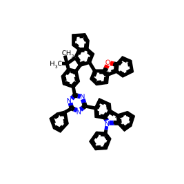 CC1(C)c2ccc(-c3nc(-c4ccccc4)nc(-c4ccc5c6ccccc6n(-c6ccccc6)c5c4)n3)cc2-c2c(-c3cccc4c3oc3ccccc34)cc3ccccc3c21